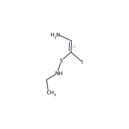 CCNS/C(I)=C\N